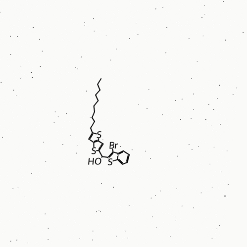 CCCCCCCCCCc1cc2sc(C(O)c3sc4ccccc4c3Br)cc2s1